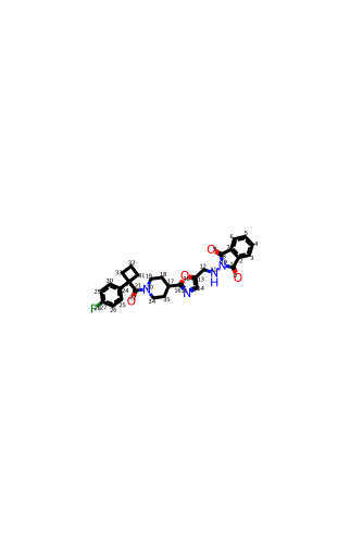 O=C1c2ccccc2C(=O)N1NCc1cnc(C2CCN(C(=O)C3(c4ccc(F)cc4)CCC3)CC2)o1